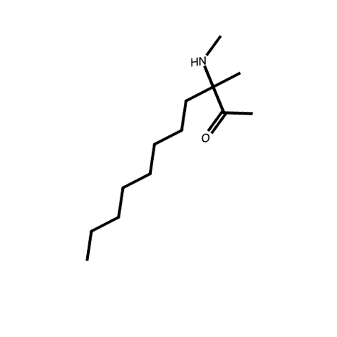 CCCCCCCCC(C)(NC)C(C)=O